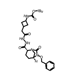 CC(C)(C)OC(=O)NC1CC(CC(=O)NNC(=O)[C@@H]2CC[C@@H]3CN2C(=O)N3OCc2ccccc2)C1